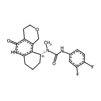 CN(C(=O)Nc1ccc(F)c(F)c1)[C@@H]1CCCc2[nH]c(=O)c3c(c21)COCC3